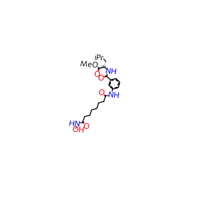 COC(=O)[C@H](CC(C)C)NC(=O)c1cccc(NC(=O)CCCCCCC(=O)NO)c1